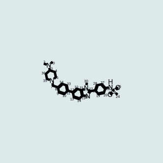 CN(C)C1CCN(Cc2ccc(-c3ccc4nc(-c5ccc(NS(C)(=O)=O)cc5)n(C)c4c3)cc2)CC1